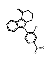 O=C1CCCc2c1c1ccccc1n2-c1ccc([N+](=O)[O-])cc1Cl